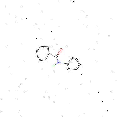 O=C(c1ccccc1)N(F)c1[c]cccc1